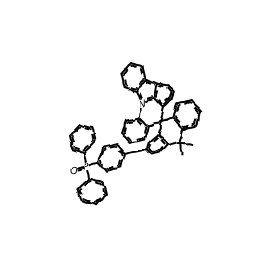 CC1(C)c2ccccc2C2(c3ccccc3-n3c4ccccc4c4cccc2c43)c2cc(-c3ccc(P(=O)(c4ccccc4)c4ccccc4)cc3)ccc21